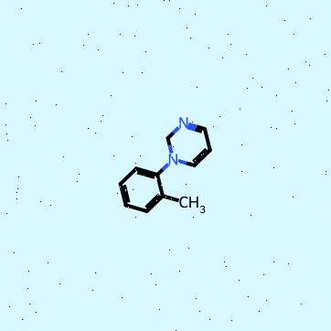 Cc1ccccc1N1C=CC=NC1